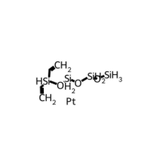 C=C[SiH](C=C)O[SiH2]O[SiH2]O[SiH3].[Pt]